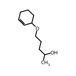 CC(O)CCCOC1C=CCCC1